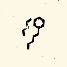 C=CCC=Cc1ccccc1.C=COC=C